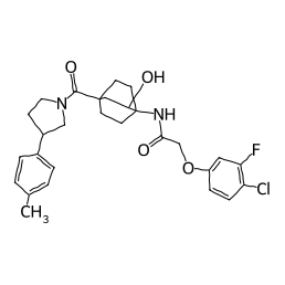 Cc1ccc(C2CCN(C(=O)C34CCC(NC(=O)COc5ccc(Cl)c(F)c5)(CC3)C(O)C4)C2)cc1